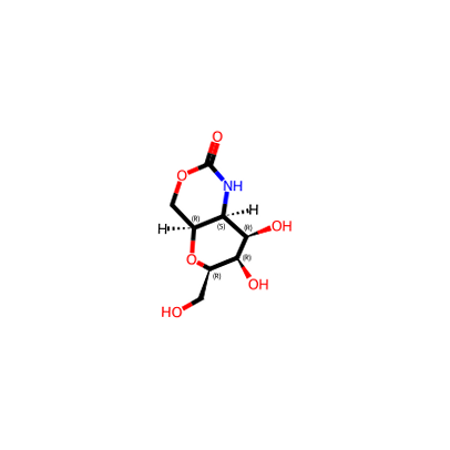 O=C1N[C@H]2[C@@H](O)[C@@H](O)[C@@H](CO)O[C@H]2CO1